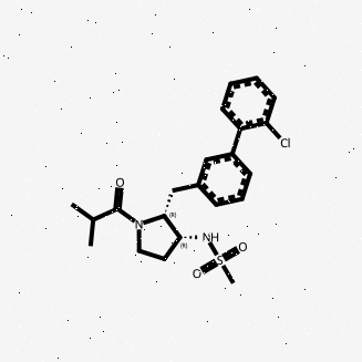 CC(C)C(=O)N1CC[C@@H](NS(C)(=O)=O)[C@H]1Cc1cccc(-c2ccccc2Cl)c1